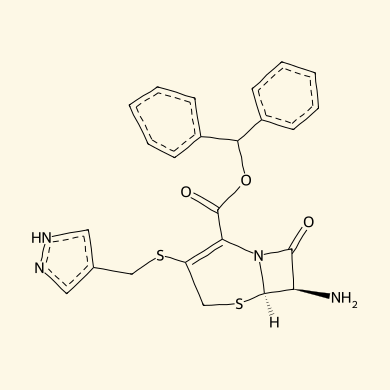 N[C@@H]1C(=O)N2C(C(=O)OC(c3ccccc3)c3ccccc3)=C(SCc3cn[nH]c3)CS[C@H]12